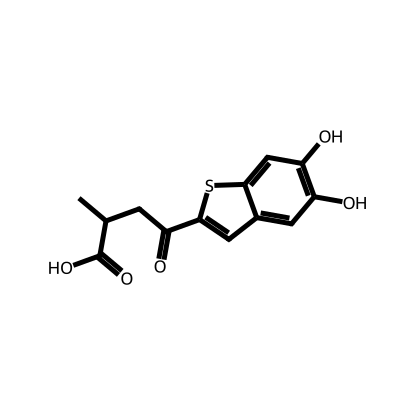 CC(CC(=O)c1cc2cc(O)c(O)cc2s1)C(=O)O